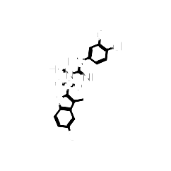 Cc1c(S(=O)(=O)N(O)C(=N)Nc2ccc(Cl)c(Cl)c2)sc2ccc(Cl)cc12